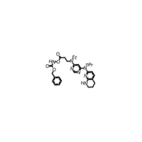 CCCN(c1cc(N(CC)CCC(=O)ONC(=O)OCc2ccccc2)ncn1)c1ccc2c(n1)NCCC2